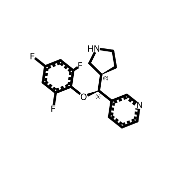 Fc1cc(F)c(O[C@H](c2cccnc2)[C@@H]2CCNC2)c(F)c1